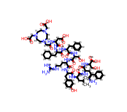 CC(C)CC(NC(=O)C(Cc1ccc(O)cc1)NC(=O)C(CCCNC(=N)N)NC(=O)C(CO)NC(=O)C(Cc1ccccc1)NC(=O)C(CC1CCCCC1)NC(=O)C(CC(=O)O)NC(=O)CN1CCN(CC(=O)O)CCN(CC(=O)O)CC1)C(=O)NC(C/C(=C/N)c1ccccc1)C(=O)NC(CO)C(=O)O